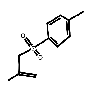 C=C(C)CS(=O)(=O)c1ccc(C)cc1